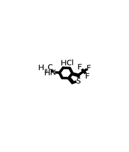 CNC1CCc2c(csc2C(F)(F)F)C1.Cl